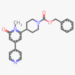 Cn1c(C2CCN(C(=O)OCc3ccccc3)CC2)cc(-c2ccncc2)cc1=O